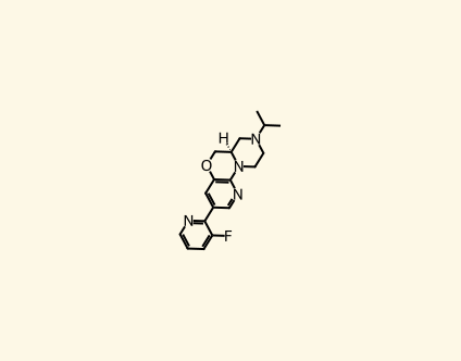 CC(C)N1CCN2c3ncc(-c4ncccc4F)cc3OC[C@H]2C1